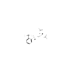 CC(C)OP(=O)(COS(=O)(=O)c1ccccc1C(F)(F)F)OC(C)C